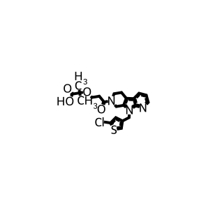 CC(C)(OCCC(=O)N1CCc2c(n(Cc3csc(Cl)c3)c3ncccc23)C1)C(=O)O